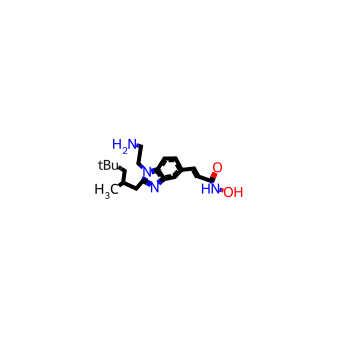 CC(Cc1nc2cc(C=CC(=O)NO)ccc2n1CCN)CC(C)(C)C